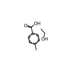 CCO.Cc1ccc(C(=O)O)cc1